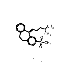 CN(C)CC/C=C1/c2ccccc2CCc2ccc(S(C)(=O)=O)cc21